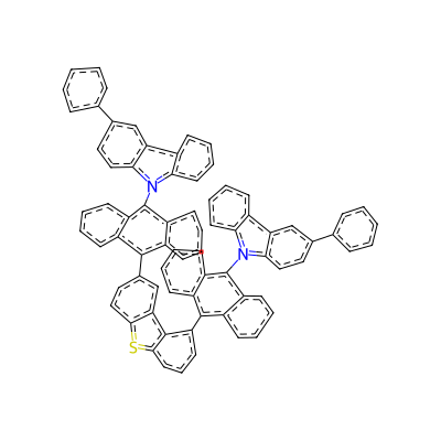 c1ccc(-c2ccc3c(c2)c2ccccc2n3-c2c3ccccc3c(-c3ccc4sc5cccc(-c6c7ccccc7c(-n7c8ccccc8c8cc(-c9ccccc9)ccc87)c7ccccc67)c5c4c3)c3ccccc23)cc1